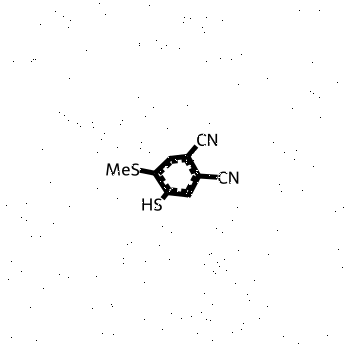 CSc1cc(C#N)c(C#N)cc1S